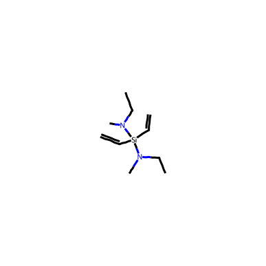 C=C[Si](C=C)(N(C)CC)N(C)CC